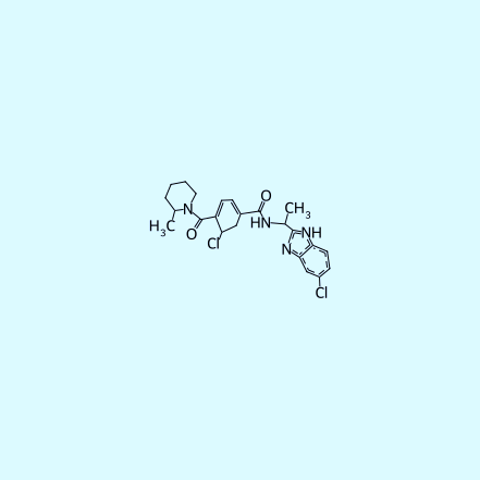 CC(NC(=O)C1=CC=C(C(=O)N2CCCCC2C)C(Cl)C1)c1nc2cc(Cl)ccc2[nH]1